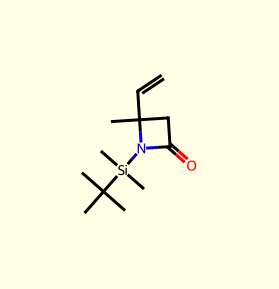 C=CC1(C)CC(=O)N1[Si](C)(C)C(C)(C)C